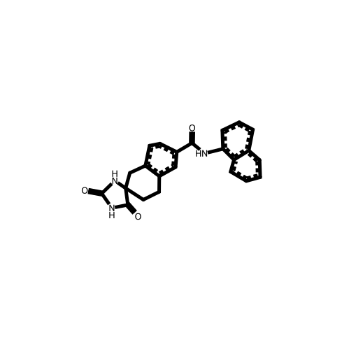 O=C1NC(=O)C2(CCc3cc(C(=O)Nc4cccc5ccccc45)ccc3C2)N1